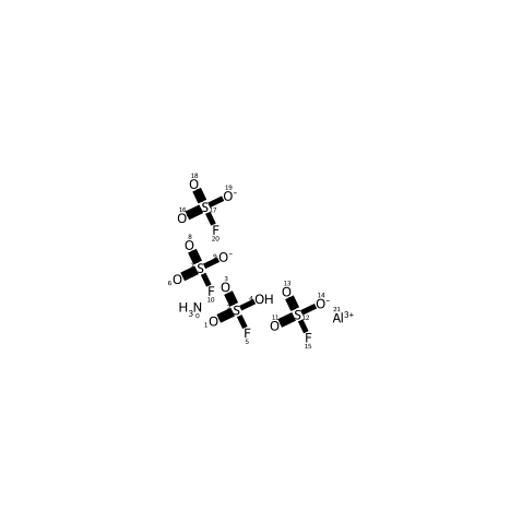 N.O=S(=O)(O)F.O=S(=O)([O-])F.O=S(=O)([O-])F.O=S(=O)([O-])F.[Al+3]